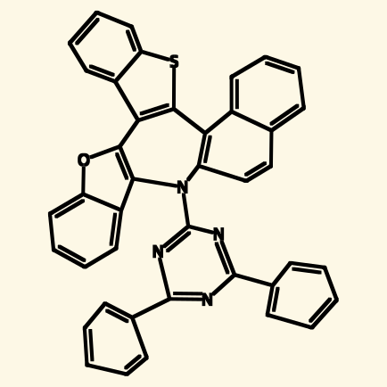 c1ccc(-c2nc(-c3ccccc3)nc(N3c4ccc5ccccc5c4-c4sc5ccccc5c4-c4oc5ccccc5c43)n2)cc1